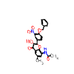 CC(=O)Nc1cc(C)cc2c(=O)c(O)c(-c3ccc(OCc4ccccc4)c([N+](=O)[O-])c3)oc12